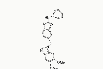 COc1cc2ncn(Cc3ccc4nc(Nc5ccccc5)sc4c3)c2cc1OC